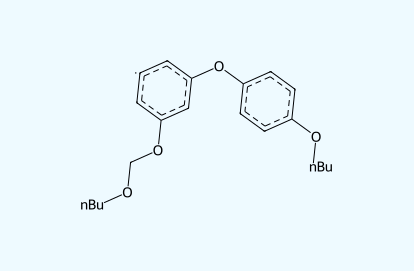 CCCCOCOc1c[c]cc(Oc2ccc(OCCCC)cc2)c1